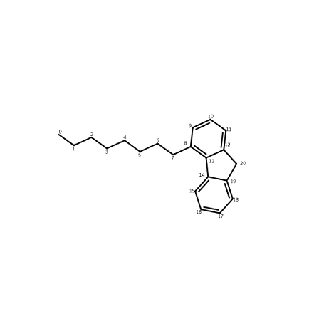 CCCCCCCCc1cccc2c1-c1ccccc1C2